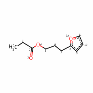 CCC(=O)OCCCc1ccco1